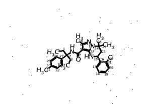 CCC(CC)(NC(=O)c1c(C)nn2c1NC(c1ccccc1Cl)CC2(C)C)c1ccc(C)cc1